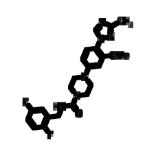 COc1cc(N2CCN(C(=O)NCc3cc(F)ccc3F)CC2)ccc1-n1cnc(C)n1